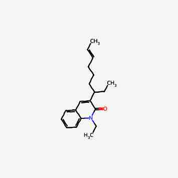 CC=CCCCC(CC)c1cc2ccccc2n(CC)c1=O